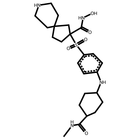 CNC(=O)C1CCC(Nc2ccc(S(=O)(=O)C3(C(=O)NO)CCC4(CCNCC4)C3)cc2)CC1